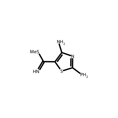 CSC(=N)c1sc(P)nc1N